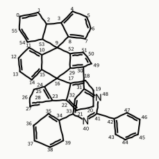 C1=CC2c3ccccc3C3(c4ccccc4C4(C5=CCCC=C5C5=C4CCC=C5)c4c(-c5cc(-c6ccccc6)nc(-c6ccccc6)n5)cccc43)C2C=C1